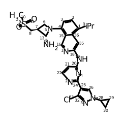 CC(C)c1ccc(N2C[C@H](CS(C)(=O)=O)[C@H]2N)c2cnc(Nc3ccnc(-c4cn(C5CC5)nc4Cl)n3)cc12